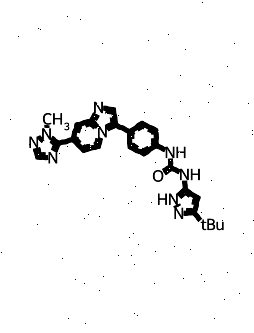 Cn1ncnc1-c1ccn2c(-c3ccc(NC(=O)Nc4cc(C(C)(C)C)n[nH]4)cc3)cnc2c1